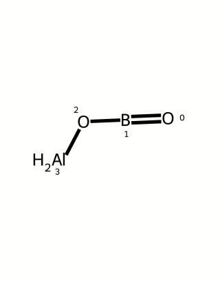 O=B[O][AlH2]